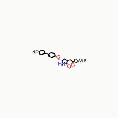 COC(=O)C[C@@H]1C[C@@H](COc2ccc(-c3ccc(C#N)cc3)cc2)NC1=O